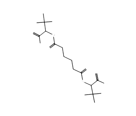 CC(C)(C)C(NC(=O)CCCCC(=O)NC(C(=O)O)C(C)(C)C)C(=O)O